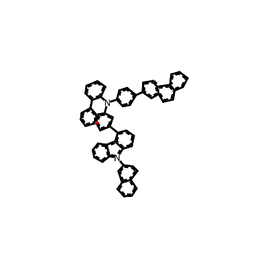 c1ccc(-c2ccccc2N(c2ccc(-c3ccc4c(ccc5ccccc54)c3)cc2)c2cccc(-c3cccc4c3c3ccccc3n4-c3ccc4ccccc4c3)c2)cc1